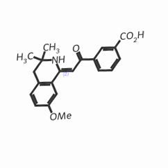 COc1ccc2c(c1)/C(=C/C(=O)c1cccc(C(=O)O)c1)NC(C)(C)C2